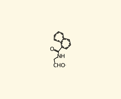 O=[C]CNC(=O)c1cccc2ccccc12